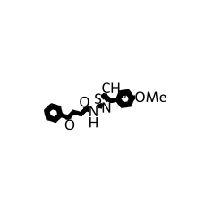 COc1ccc(-c2nc(NC(=O)CCC(=O)c3ccccc3)sc2C)cc1